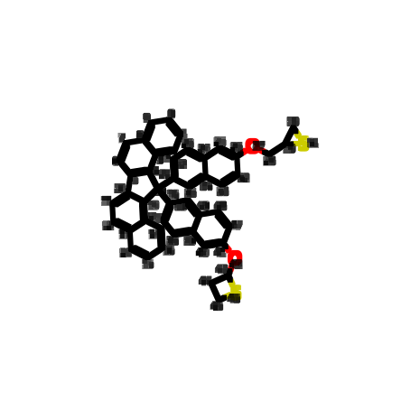 c1ccc2c3c(ccc2c1)-c1ccc2ccccc2c1C3(c1ccc2cc(OCC3CS3)ccc2c1)c1ccc2cc(OC3CCS3)ccc2c1